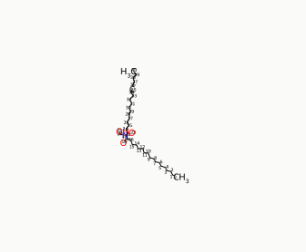 CCCCCCCCCCCCCCCCCC(=O)N(CO)C(=O)CCCCCCCCCCCCCCCCC